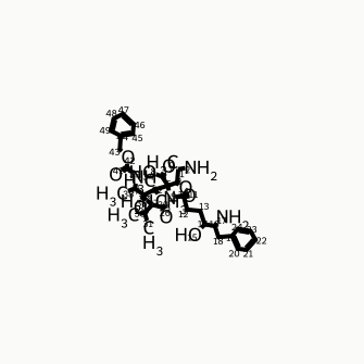 CC(N)C(=O)C(C(=O)O)(N(C(=O)CCC(O)C(N)Cc1ccccc1)C(=O)C(N)C(C)C)C(C)(C)C(=O)C(C)NC(=O)OCc1ccccc1